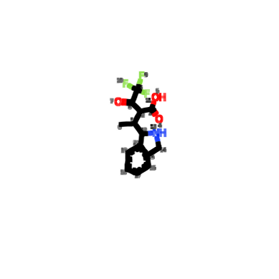 CC(C(C(=O)O)C(=O)C(F)(F)F)C1NCc2ccccc21